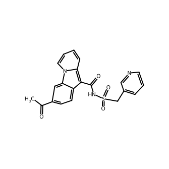 CC(=O)c1ccc2c(C(=O)NS(=O)(=O)Cc3cccnc3)c3ccccn3c2c1